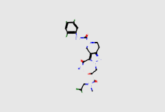 C[C@@H]1Cc2nn3c(c2CN1C(=O)Nc1cc(Cl)c(F)cc1F)C(=O)N(C)O[C@H](C(=O)N(C)CC(F)F)C3